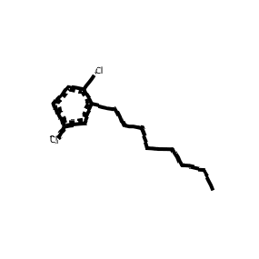 CCCCCCCCc1cc(Cl)ccc1Cl